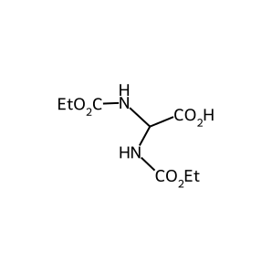 CCOC(=O)NC(NC(=O)OCC)C(=O)O